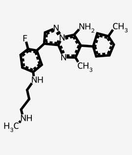 CNCCCNc1ccc(F)c(-c2cnn3c(N)c(-c4cccc(C)c4)c(C)nc23)c1